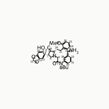 CCCCN(C(=O)CN1C[C@H](c2ccc3c(c2)OCO3)[C@@H](C(=O)O)[C@@H]1CCc1ccccc1OC)c1cccc(CN)c1